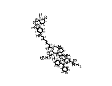 Cn1c(=O)n(C2CCC(=O)NC2=O)c2ccc(NCCCCCC(=O)N3CC[C@H]4CC[C@@H](C(=O)N[C@@H](CCC(N)=O)C(=O)NC(c5ccccc5)c5ccccc5)N4C(=O)[C@@H](NC(=O)OC(C)(C)C)C3)cc21